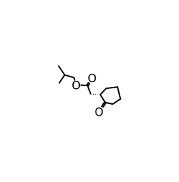 CC(C)COC(=O)C[C@@H]1CCCCC1=O